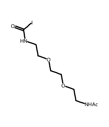 CC(=O)NCCOCCOCCNC(=O)I